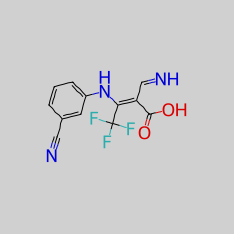 N#Cc1cccc(N/C(=C(\C=N)C(=O)O)C(F)(F)F)c1